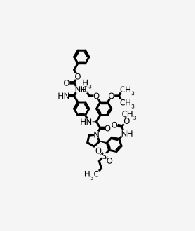 CCCS(=O)(=O)c1ccc(NC(=O)OC)cc1[C@H]1CCCN1C(=O)[C@H](Nc1ccc(C(=N)NC(=O)OCc2ccccc2)cc1)c1ccc(OC(C)C)c(OCC)c1